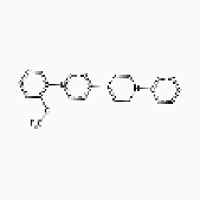 FC(F)(F)Oc1ccccc1-[n+]1ccc(C2=CCN(c3ccccc3)C=C2)cc1